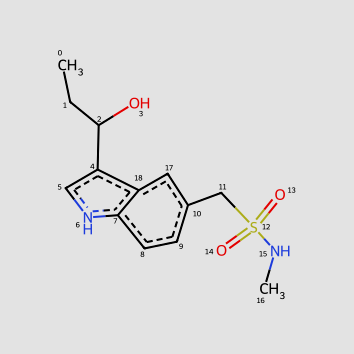 CCC(O)c1c[nH]c2ccc(CS(=O)(=O)NC)cc12